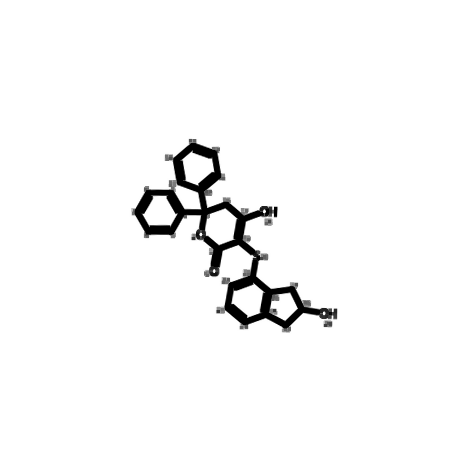 O=C1OC(c2ccccc2)(c2ccccc2)CC(O)=C1Sc1cccc2c1CC(O)C2